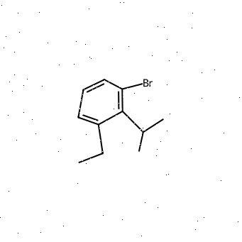 CCc1cccc(Br)c1C(C)C